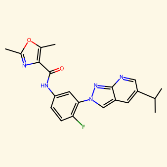 Cc1nc(C(=O)Nc2ccc(F)c(-n3cc4cc(C(C)C)cnc4n3)c2)c(C)o1